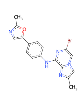 Cc1cn2cc(Br)nc(Nc3ccc(-c4cnc(C)o4)cc3)c2n1